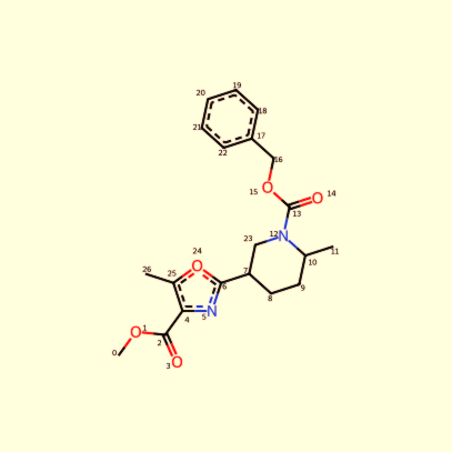 COC(=O)c1nc(C2CCC(C)N(C(=O)OCc3ccccc3)C2)oc1C